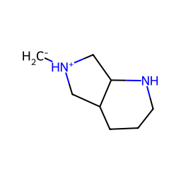 [CH2-][NH+]1CC2CCCNC2C1